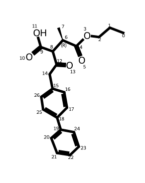 CCCOC(=O)[C@H](C)C(C(=O)O)C(=O)Cc1ccc(-c2ccccc2)cc1